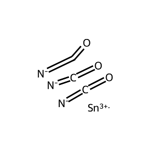 [N-]=C=O.[N-]=C=O.[N-]=C=O.[Sn+3]